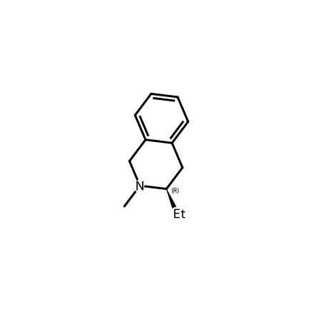 CC[C@@H]1Cc2ccccc2CN1C